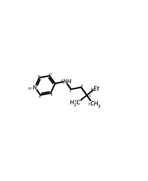 CCC(C)(C)CCNc1ccncc1